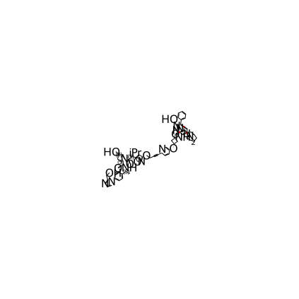 CC(C)[C@H](C(=O)N1C[C@H](O)C[C@H]1C(=O)N[C@@H](C)c1ccc(-n2ccnc2CO)cc1)c1cc(OCC#Cc2ccc(O[C@H]3C[C@H](Oc4cc(N5C6CCC5CN(c5cc(-c7ccccc7O)nnc5N)C6)ccn4)C3)cn2)no1